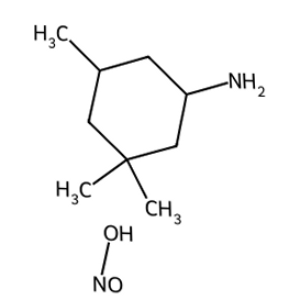 CC1CC(N)CC(C)(C)C1.O=NO